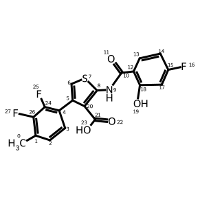 Cc1ccc(-c2csc(NC(=O)c3ccc(F)cc3O)c2C(=O)O)c(F)c1F